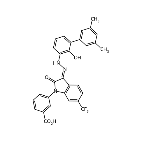 Cc1cc(C)cc(-c2cccc(NN=C3C(=O)N(c4cccc(C(=O)O)c4)c4cc(C(F)(F)F)ccc43)c2O)c1